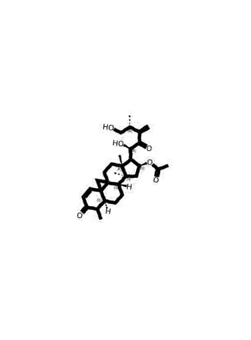 C=C(C(=O)[C@H](O)C1[C@@H](OC(C)=O)C[C@@]2(C)[C@@H]3CC[C@H]4C(C)C(=O)C=CC45CC35CC[C@]12C)[C@@H](C)CO